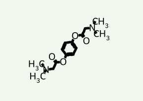 CN(C)CC(=O)Oc1ccc(OC(=O)CN(C)C)cc1